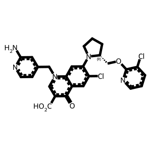 Nc1cc(Cn2cc(C(=O)O)c(=O)c3cc(Cl)c(N4CCC[C@@H]4COc4ncccc4Cl)cc32)ccn1